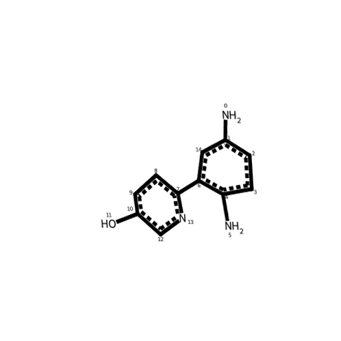 Nc1ccc(N)c(-c2ccc(O)cn2)c1